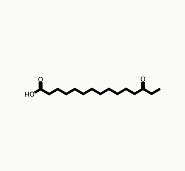 CCC(=O)CCCCCCCCCCCC(=O)O